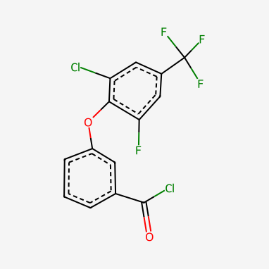 O=C(Cl)c1cccc(Oc2c(F)cc(C(F)(F)F)cc2Cl)c1